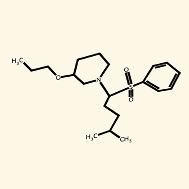 CCCOC1CCCN(C(CCC(C)C)S(=O)(=O)c2ccccc2)C1